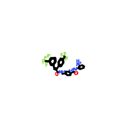 Nc1ccccc1NC(=O)c1ccc(CNC(=O)C(=Cc2ccc(F)c(C(F)(F)F)c2)c2ccc(C(F)(F)F)cc2)cc1